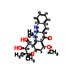 COc1cc2c(c3c1c(=O)c1cc4ccccc4nc1n3C)C(O)C(O)C(C)(C)O2